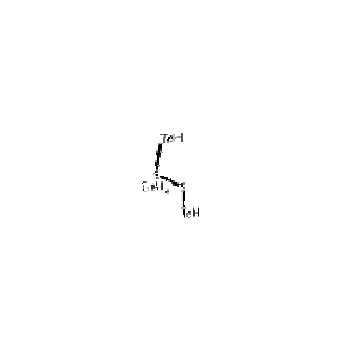 [GeH4].[TeH]SS[TeH]